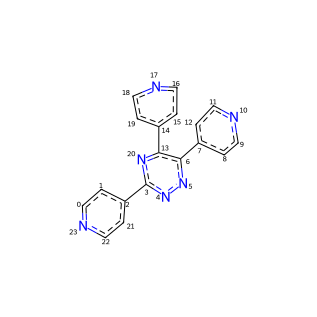 c1cc(-c2nnc(-c3ccncc3)c(-c3ccncc3)n2)ccn1